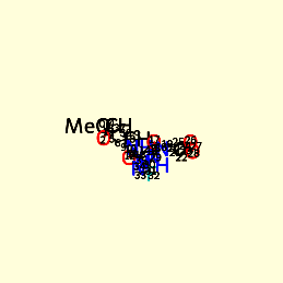 COC(=O)C1(C)CCC(C)(CNC(=O)c2cc(C(=O)NCc3ccc4c(c3)OCO4)nc3c(F)cnn23)CC1